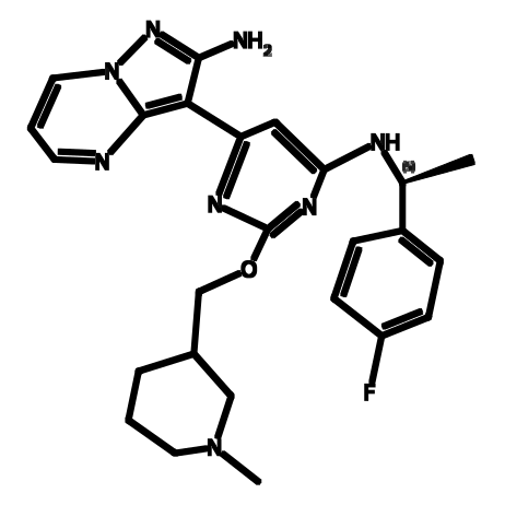 C[C@H](Nc1cc(-c2c(N)nn3cccnc23)nc(OCC2CCCN(C)C2)n1)c1ccc(F)cc1